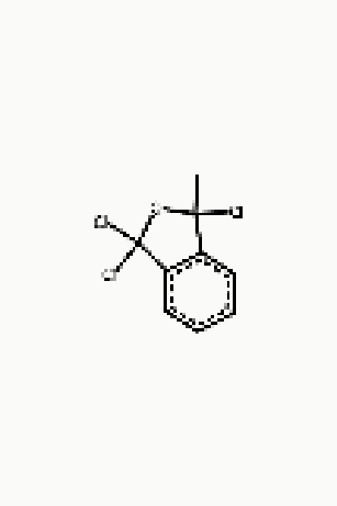 CC1(Cl)OC(Cl)(Cl)c2ccccc21